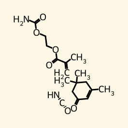 C=C(C)C(=O)OCCOC(N)=O.CC1=CC(=O)CC(C)(C)C1.N=C=O